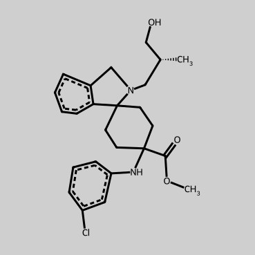 COC(=O)C1(Nc2cccc(Cl)c2)CCC2(CC1)c1ccccc1CN2C[C@@H](C)CO